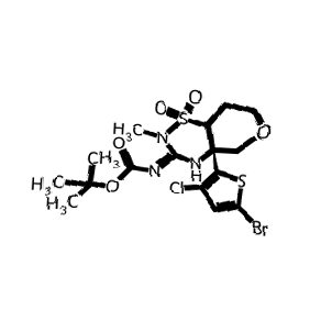 CN1/C(=N\C(=O)OC(C)(C)C)N[C@@]2(c3sc(Br)cc3Cl)COCCC2S1(=O)=O